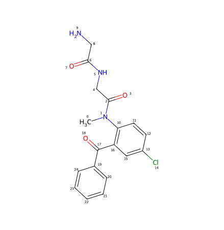 CN(C(=O)CNC(=O)CN)c1ccc(Cl)cc1C(=O)c1ccccc1